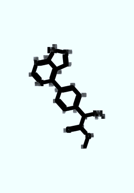 COC(=O)C(N)c1ccc(-c2ncnc3[nH]ncc23)cc1